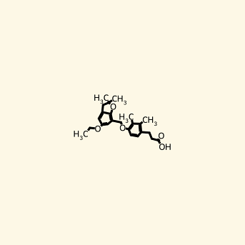 CCOc1cc(COc2ccc(CCC(=O)O)c(C)c2C)c2c(c1)CC(C)(C)O2